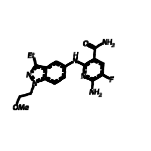 CCc1nn(CCOC)c2ccc(Nc3nc(N)c(F)cc3C(N)=O)cc12